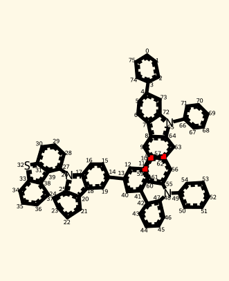 c1ccc(-c2ccc3c4cc(-c5cc(-c6ccc7c(c6)c6ccccc6n7-c6cccc7sc8ccccc8c67)cc(-c6ccccc6N(c6ccccc6)c6ccccc6)c5)ccc4n(-c4ccccc4)c3c2)cc1